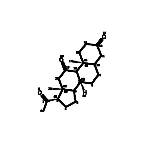 CC(=O)[C@H]1CCC2[C@@H]3CCC4CC(=O)CC[C@]4(C)C3C(=O)C[C@@]21C